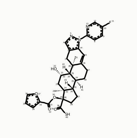 C[C@]12Cc3cnn(-c4ccc(F)cn4)c3C=C1CC[C@@H]1[C@@H]2[C@@H](O)C[C@@]2(C)[C@H]1CC[C@]2(OC(=O)c1ccco1)C(=O)S